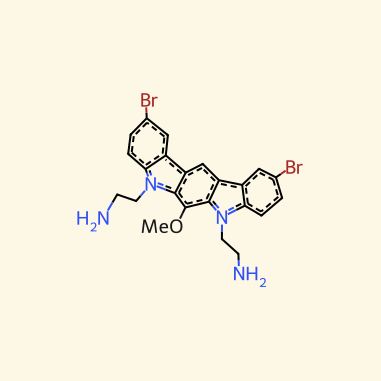 COc1c2c(cc3c4cc(Br)ccc4n(CCN)c13)c1cc(Br)ccc1n2CCN